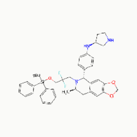 C[C@@H]1Cc2cc3c(cc2[C@@H](c2ccc(N[C@H]4CCNC4)cc2)N1CC(F)(F)CO[Si](c1ccccc1)(c1ccccc1)C(C)(C)C)OCO3